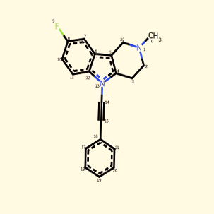 CN1CCc2c(c3cc(F)ccc3n2C#Cc2ccccc2)C1